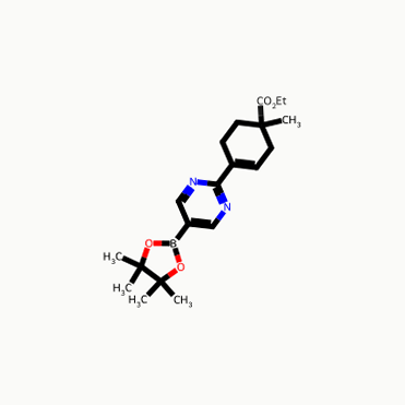 CCOC(=O)C1(C)CC=C(c2ncc(B3OC(C)(C)C(C)(C)O3)cn2)CC1